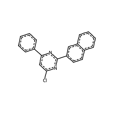 Clc1cc(-c2ccccc2)nc(-c2ccc3ccccc3c2)n1